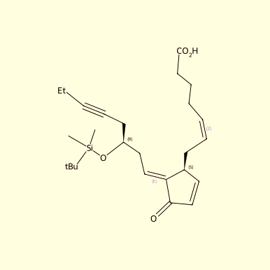 CCC#CC[C@@H](C/C=C1/C(=O)C=C[C@@H]1C/C=C\CCCC(=O)O)O[Si](C)(C)C(C)(C)C